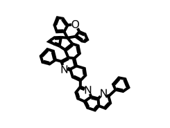 c1ccc(-c2ccc3ccc4ccc(-c5ccc6c(c5)nc(-c5ccccc5)c5c7c(ccc56)C5(c6ccccc6Oc6ccccc65)c5ccccc5-7)nc4c3n2)cc1